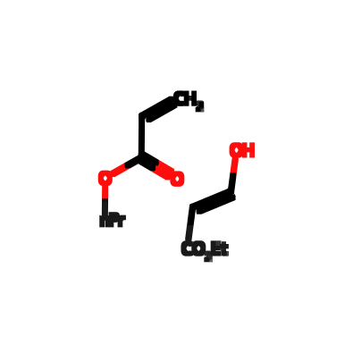 C=CC(=O)OCCC.CCOC(=O)C=CO